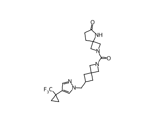 O=C1CCC2(CN(C(=O)N3CC4(CC(Cn5cc(C6(C(F)(F)F)CC6)cn5)C4)C3)C2)N1